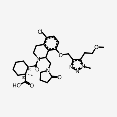 COCCc1c(COc2ccc(Cl)c3c2C(CN2CCCC2=O)N(C(=O)[C@@H]2CCCC[C@]2(C)C(=O)O)CC3)nnn1C